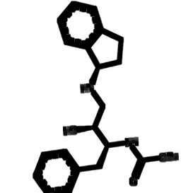 CC(C)COC(=O)N[C@@H](Cc1ccccc1)[C@@H](O)CN[C@@H]1CCc2ccccc21